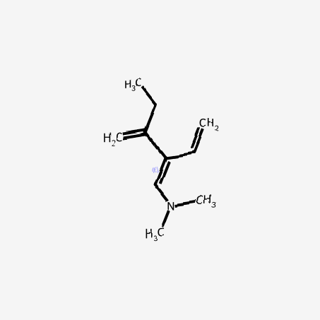 C=C/C(=C\N(C)C)C(=C)CC